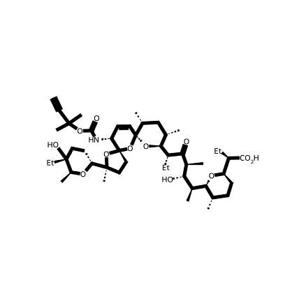 C#CC(C)(C)OC(=O)N[C@@H]1C=C[C@]2(O[C@H]([C@@H](CC)C(=O)[C@@H](C)[C@@H](O)[C@H](C)[C@@H]3O[C@@H]([C@@H](CC)C(=O)O)CC[C@@H]3C)[C@@H](C)C[C@H]2C)O[C@@]12CC[C@@](C)([C@H]1CC[C@](O)(CC)[C@H](C)O1)O2